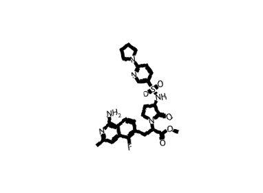 COC(=O)C(Cc1ccc2c(N)nc(C)cc2c1F)N1CCC(NS(=O)(=O)c2ccc(N3CCCC3)nc2)C1=O